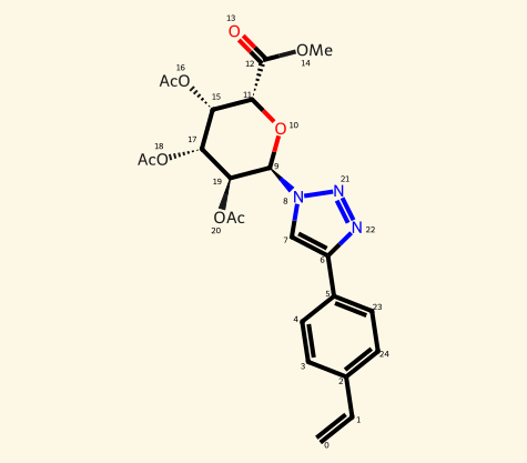 C=Cc1ccc(-c2cn([C@@H]3O[C@@H](C(=O)OC)[C@@H](OC(C)=O)[C@@H](OC(C)=O)[C@@H]3OC(C)=O)nn2)cc1